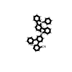 N#Cc1cccc(C#N)c1-c1ccc(-n2c3ccccc3c3c2ccc2c4ccccc4n(-c4ccccc4)c23)cc1-c1ccccc1